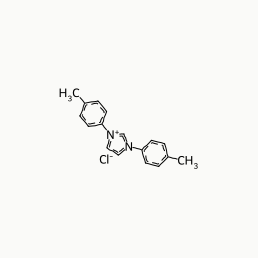 Cc1ccc(-n2cc[n+](-c3ccc(C)cc3)c2)cc1.[Cl-]